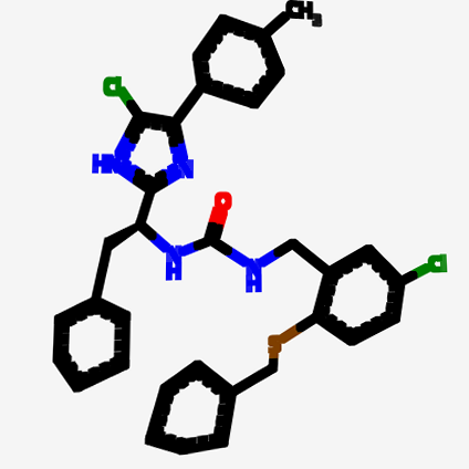 Cc1ccc(-c2nc([C@H](Cc3ccccc3)NC(=O)NCc3cc(Cl)ccc3SCc3ccccc3)[nH]c2Cl)cc1